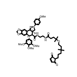 COc1ccc(N2C[C@@H]3C(=N2)c2cc4c(cc2[C@@H](c2cc(OC)c(OC)c(OC)c2)C3C(=O)NCCNC(=O)CCC(C)(C)OCCC(C)(C)CCCC2C(=O)C=CC2=O)OCO4)cc1